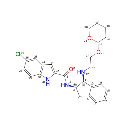 O=C(N[C@@H]1Cc2ccccc2[C@@H]1NCCOC1CCCCO1)c1cc2cc(Cl)ccc2[nH]1